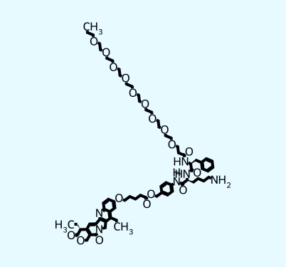 CCCOCCOCCOCCOCCOCCOCCOCCOCCOCCC(=O)N[C@@H](Cc1ccccc1)C(=O)N[C@@H](CCCCN)C(=O)Nc1ccc(COC(=O)CCCCOc2ccc3nc4c(c(CC)c3c2)Cn2c-4cc3c(c2=O)COC(=O)[C@@H]3CC)cc1